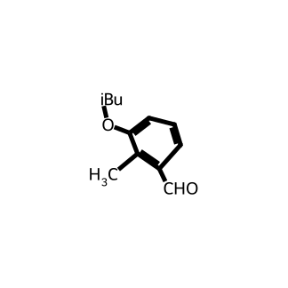 CCC(C)Oc1cccc(C=O)c1C